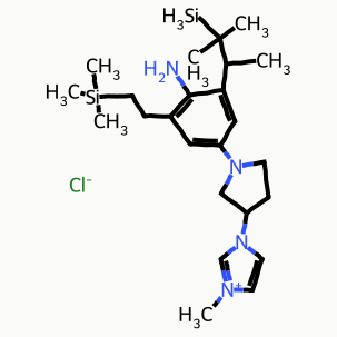 CC(c1cc(N2CCC(n3cc[n+](C)c3)C2)cc(CC[Si](C)(C)C)c1N)C(C)(C)[SiH3].[Cl-]